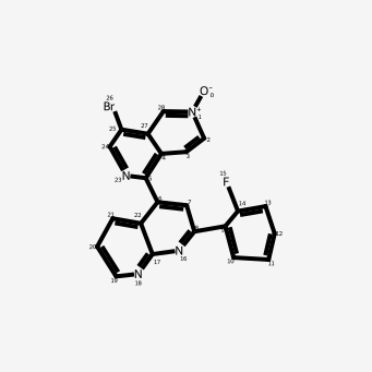 [O-][n+]1ccc2c(-c3cc(-c4ccccc4F)nc4ncccc34)ncc(Br)c2c1